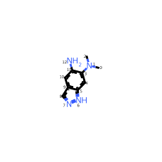 CN(C)c1cc2[nH]ncc2cc1N